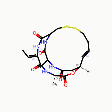 C/C=C1\NC(=O)C2CSSCC/C=C/[C@H](CC(=O)NC(C(C)C)C(=O)N2)OC(=O)[C@H](C(C)C)NC1=O